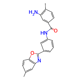 Cc1ccc2oc(-c3cccc(NC(=O)c4ccc(C)c(N)c4)c3)nc2c1